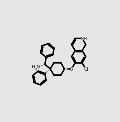 N[C@H](c1ccccc1)[C@]1(c2ccccc2)CC[C@H](Oc2cc3c(cc2Cl)CNC=C3)CC1